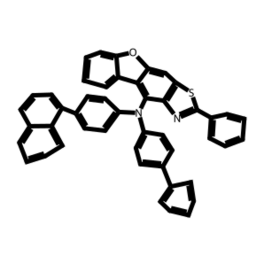 c1ccc(-c2ccc(N(c3ccc(-c4cccc5ccccc45)cc3)c3c4nc(-c5ccccc5)sc4cc4oc5ccccc5c34)cc2)cc1